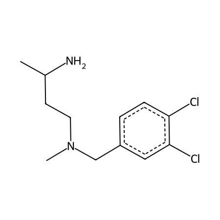 CC(N)CCN(C)Cc1ccc(Cl)c(Cl)c1